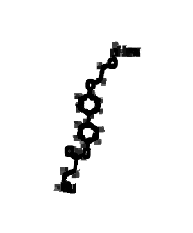 CCCCCCOCCOc1ccc(-c2ccc(OC(=O)CCC(C)CC)cc2)nc1